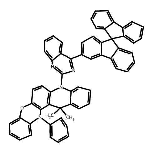 CC1(C)c2ccccc2N(c2nc(-c3ccc4c(c3)-c3ccccc3C43c4ccccc4-c4ccccc43)c3ccccc3n2)c2ccc3c(c21)N(c1ccccc1)c1ccccc1O3